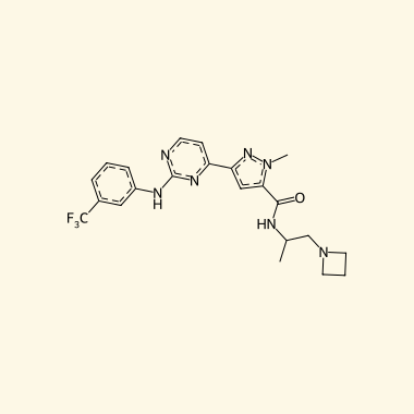 CC(CN1CCC1)NC(=O)c1cc(-c2ccnc(Nc3cccc(C(F)(F)F)c3)n2)nn1C